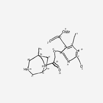 COC(=O)c1c(C)nc(Cl)nc1OC(=O)N1C2CCC1(C)CNC2